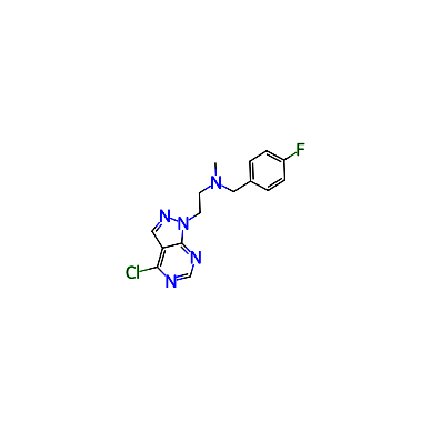 CN(CCn1ncc2c(Cl)ncnc21)Cc1ccc(F)cc1